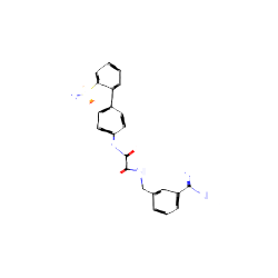 N=C(N)c1cccc(CNC(=O)C(=O)Nc2ccc(-c3ccccc3S(N)(=O)=O)cc2)c1